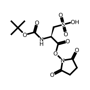 CC(C)(C)OC(=O)N[C@@H](CS(=O)(=O)O)C(=O)ON1C(=O)CCC1=O